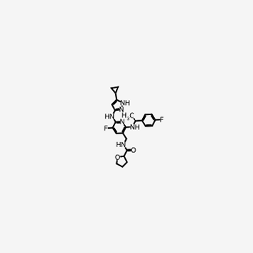 C[C@H](Nc1nc(Nc2cc(C3CC3)[nH]n2)c(F)cc1CNC(=O)C1CCCO1)c1ccc(F)cc1